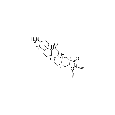 C#CON(C#C)C(=O)[C@@]1(C)CC[C@]2(C)CC[C@]3(C)C(=CC(=O)[C@@H]4[C@@]5(C)CC[C@H](N)C(C)(C)C5CC[C@]43C)[C@@H]2C1